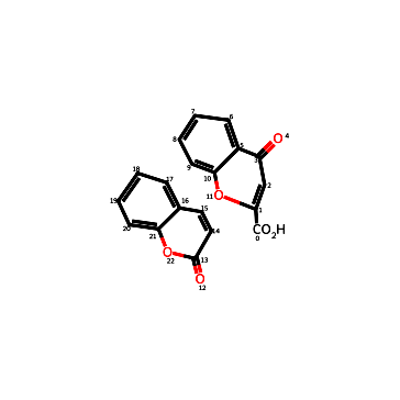 O=C(O)c1cc(=O)c2ccccc2o1.O=c1ccc2ccccc2o1